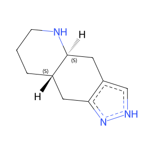 c1[nH]nc2c1C[C@@H]1NCCC[C@H]1C2